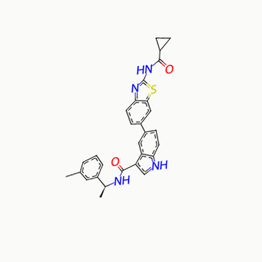 Cc1cccc([C@H](C)NC(=O)c2c[nH]c3ccc(-c4ccc5nc(NC(=O)C6CC6)sc5c4)cc23)c1